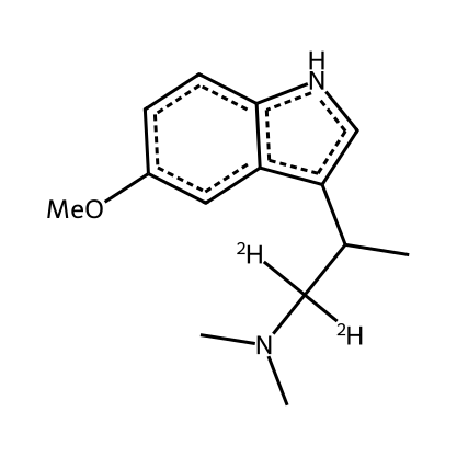 [2H]C([2H])(C(C)c1c[nH]c2ccc(OC)cc12)N(C)C